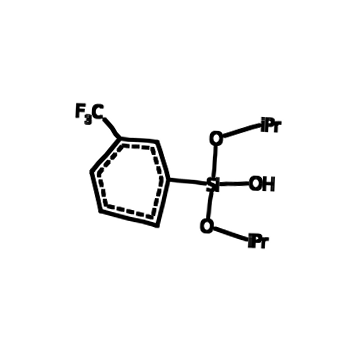 CC(C)O[Si](O)(OC(C)C)c1cccc(C(F)(F)F)c1